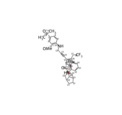 COc1cc(P(C)(C)=O)ccc1NCC#Cc1sc2c(NC3C4CCC3CN(C(=O)OC(C)(C)C)C4)cccc2c1CC(F)(F)F